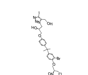 CC(C)(c1ccc(OC[C@@H](O)Cn2nnc(I)c2CO)cc1)c1ccc(OC[C@@H](CCl)N=O)c(Br)c1